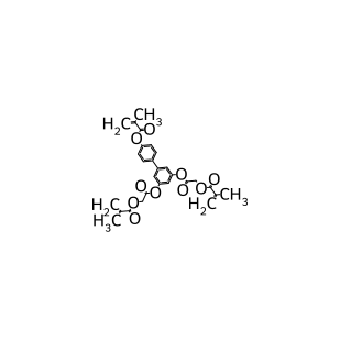 C=C(C)C(=O)OCC(=O)Oc1cc(OC(=O)COC(=O)C(=C)C)cc(-c2ccc(OC(=O)C(=C)C)cc2)c1